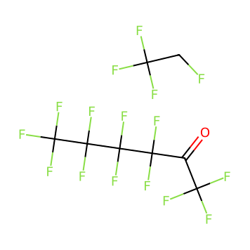 FCC(F)(F)F.O=C(C(F)(F)F)C(F)(F)C(F)(F)C(F)(F)C(F)(F)F